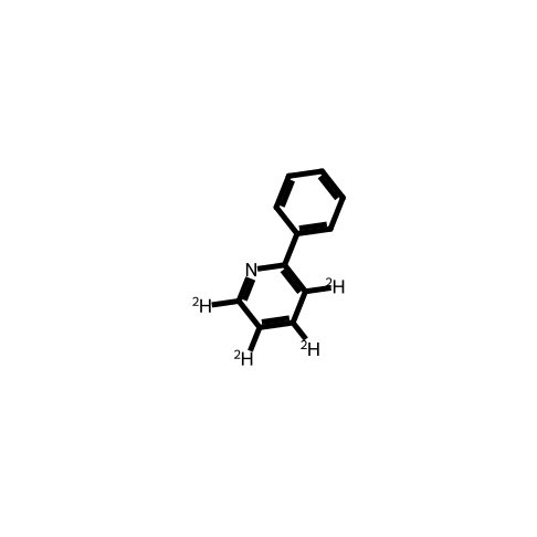 [2H]c1nc(-c2ccccc2)c([2H])c([2H])c1[2H]